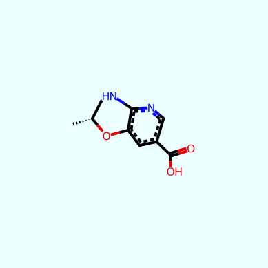 C[C@@H]1CNc2ncc(C(=O)O)cc2O1